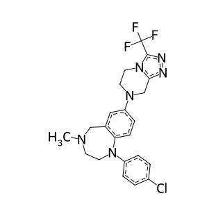 CN1CCN(c2ccc(Cl)cc2)c2ccc(N3CCn4c(nnc4C(F)(F)F)C3)cc2C1